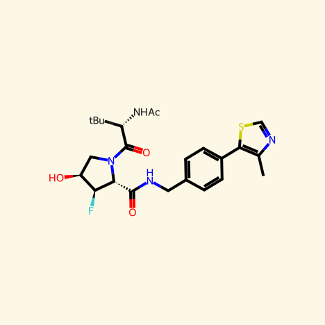 CC(=O)N[C@H](C(=O)N1C[C@H](O)[C@H](F)[C@H]1C(=O)NCc1ccc(-c2scnc2C)cc1)C(C)(C)C